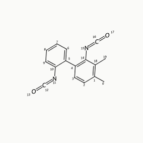 Cc1ccc(-c2ccccc2N=C=O)c(N=C=O)c1C